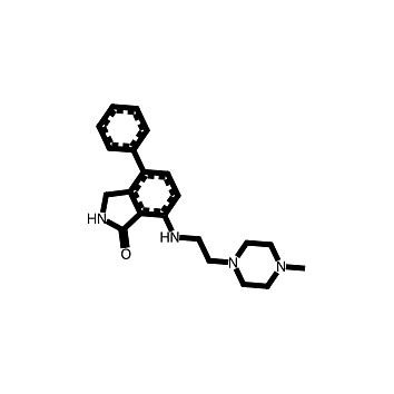 CN1CCN(CCNc2ccc(-c3ccccc3)c3c2C(=O)NC3)CC1